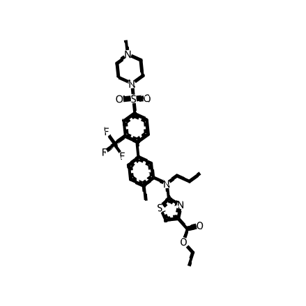 CCCN(c1nc(C(=O)OCC)cs1)c1cc(-c2ccc(S(=O)(=O)N3CCN(C)CC3)cc2C(F)(F)F)ccc1C